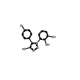 Oc1cccc(-n2nnc(S)c2-c2ccc(Cl)cc2)c1O